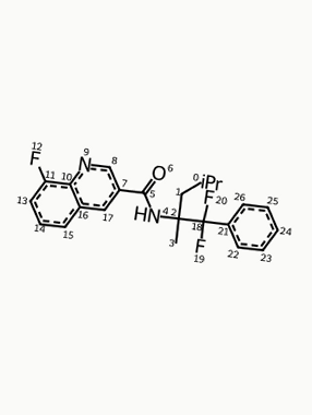 CC(C)CC(C)(NC(=O)c1cnc2c(F)cccc2c1)C(F)(F)c1ccccc1